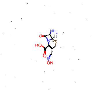 NC1C(=O)N2C(C(=O)O)=C(C=NO)CS[C@@H]12